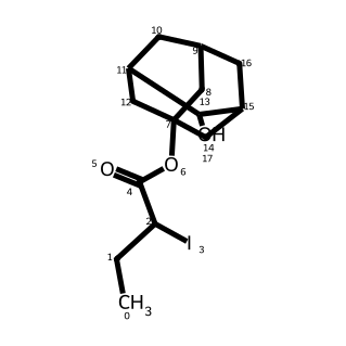 CCC(I)C(=O)OC12CC3CC(C1)C(O)C(C3)C2